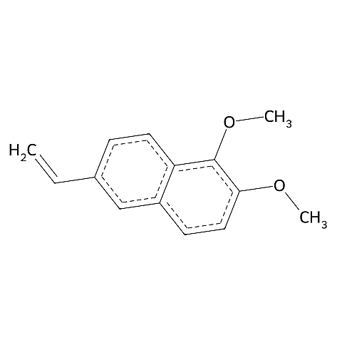 C=Cc1ccc2c(OC)c(OC)ccc2c1